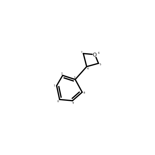 c1ccc(C2COC2)cc1